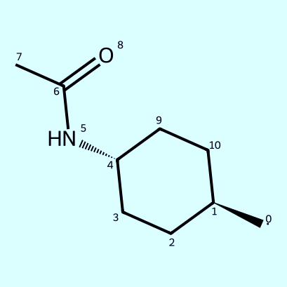 [CH2][C@H]1CC[C@H](NC(C)=O)CC1